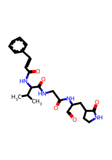 CC(C)C(NC(=O)/C=C/c1ccccc1)C(=O)NCC(=O)NC(C=O)CC1CCNC1=O